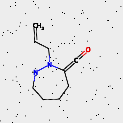 C=CCN1[N]CCCCC1=C=O